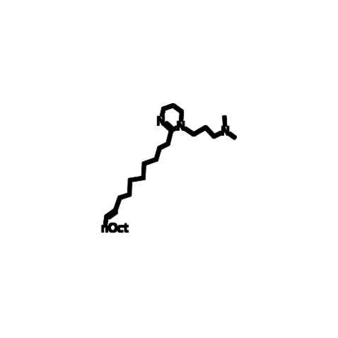 CCCCCCCCC=CCCCCCCCCC1=NCCCN1CCCN(C)C